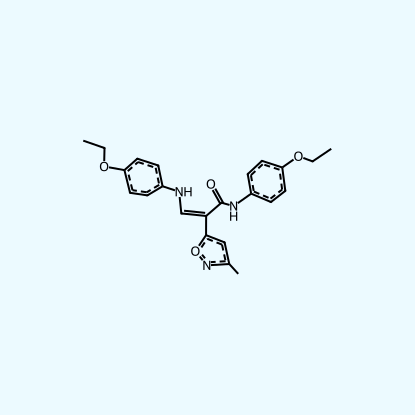 CCOc1ccc(NC=C(C(=O)Nc2ccc(OCC)cc2)c2cc(C)no2)cc1